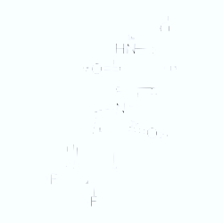 Cc1c(F)c(F)cc2c1CN([C@H]1CCC(=O)NC1=O)C2=O